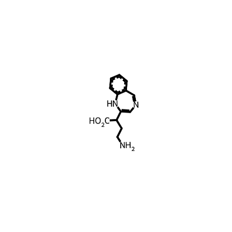 NCCC(C(=O)O)C1=CN=Cc2ccccc2N1